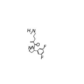 C=C(CCCN)C(=O)N1N=CCC1c1cc(F)cc(F)c1